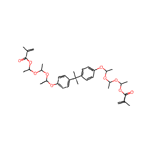 C=C(C)C(=O)OC(C)OC(C)OC(C)Oc1ccc(C(C)(C)c2ccc(OC(C)OC(C)OC(C)OC(=O)C(=C)C)cc2)cc1